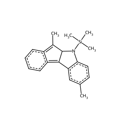 CC1=c2ccccc2=C2c3cc(C)ccc3N([Si](C)(C)C)C12